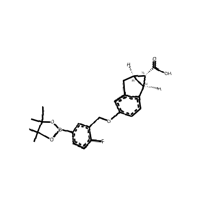 CC1(C)OB(c2ccc(F)c(COc3ccc4c(c3)C[C@H]3[C@H](C(=O)O)[C@@H]43)c2)OC1(C)C